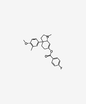 COc1ccc(C23CCC(OC(=O)c4ccc(F)cc4)=CC2N(C)CC3)cc1C